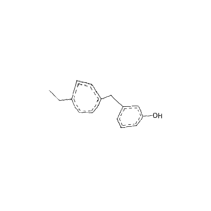 CCc1ccc(Cc2cccc(O)c2)cc1